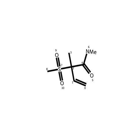 C=CC(C)(C(=O)NC)S(C)(=O)=O